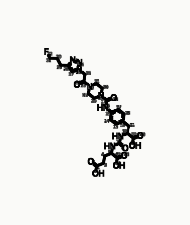 O=C(O)CCC(NC(=O)N[C@@H](Cc1ccc(NC(=O)N2CCN(C(=O)Cn3cc(CCCF)nn3)CC2)cc1)C(=O)O)C(=O)O